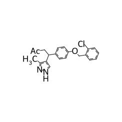 CC(=O)CC(c1ccc(OCc2ccccc2Cl)cc1)c1c[nH]nc1C